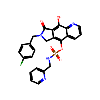 O=C1c2c(c(OS(=O)(=O)NCc3ccccn3)c3cccnc3c2O)CN1Cc1ccc(F)cc1